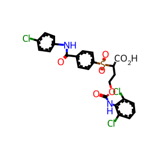 O=C(Nc1c(Cl)cccc1Cl)OCCC(C(=O)O)S(=O)(=O)c1ccc(C(=O)Nc2ccc(Cl)cc2)cc1